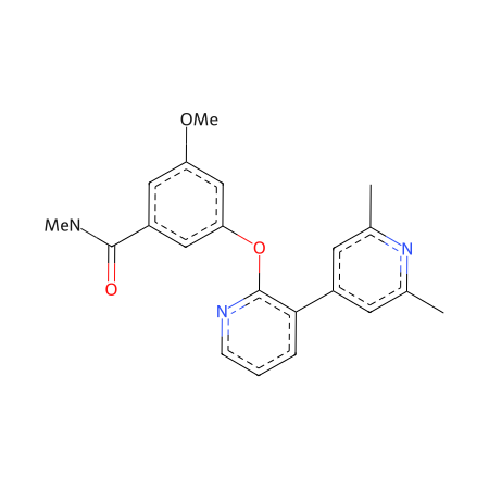 CNC(=O)c1cc(OC)cc(Oc2ncccc2-c2cc(C)nc(C)c2)c1